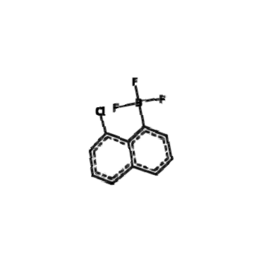 F[B-](F)(F)c1cccc2cccc(Cl)c12